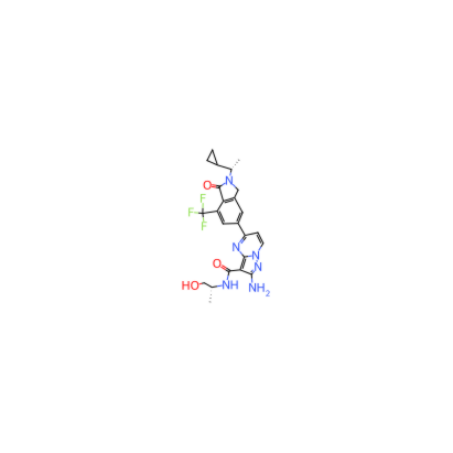 C[C@H](CO)NC(=O)c1c(N)nn2ccc(-c3cc4c(c(C(F)(F)F)c3)C(=O)N([C@@H](C)C3CC3)C4)nc12